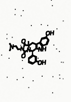 CN(C)CCN1C(=O)N2[C@H](c3cccc(O)c3)c3[nH]c4ccc(O)cc4c3C[C@@]2(C)C1=O